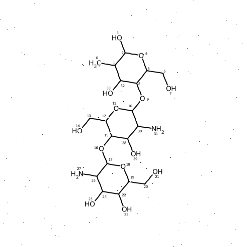 CC1C(O)OC(CO)C(OC2OC(CO)C(OC3OC(CO)C(O)C(O)C3N)C(O)C2N)C1O